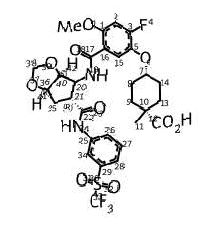 COc1cc(F)c(O[C@H]2CC[C@@](C)(C(=O)O)CC2)cc1C(=O)NC1[C@H](C(=O)Nc2cccc(S(=O)(=O)C(F)(F)F)c2)C[C@H]2OCO[C@@H]12